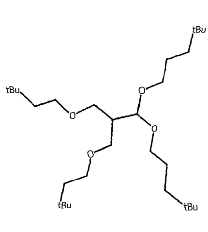 CC(C)(C)CCCOC(OCCCC(C)(C)C)C(COCCC(C)(C)C)COCCC(C)(C)C